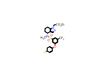 CCOC(=O)Cn1ncc2c1CCC[C@H]2N(C)S(=O)(=O)c1cc(OC2=CCC(F)C=C2)cc(C(F)(F)F)c1